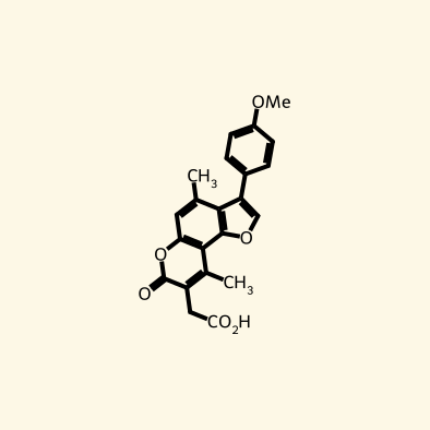 COc1ccc(-c2coc3c2c(C)cc2oc(=O)c(CC(=O)O)c(C)c23)cc1